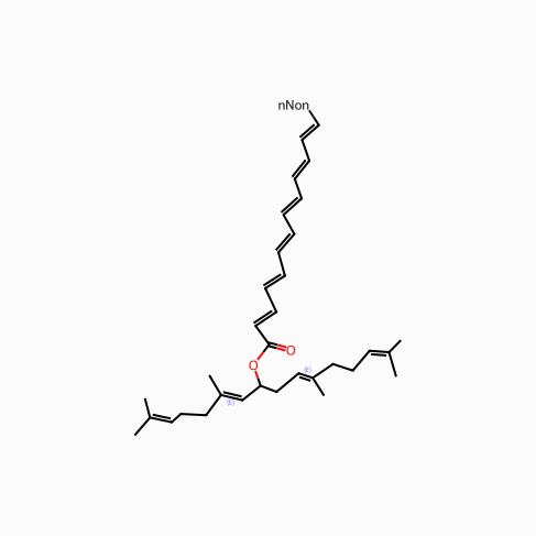 CCCCCCCCCC=CC=CC=CC=CC=CC=CC(=O)OC(/C=C(\C)CCC=C(C)C)C/C=C(\C)CCC=C(C)C